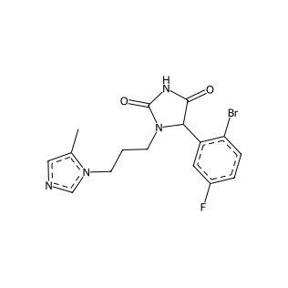 Cc1cncn1CCCN1C(=O)NC(=O)C1c1cc(F)ccc1Br